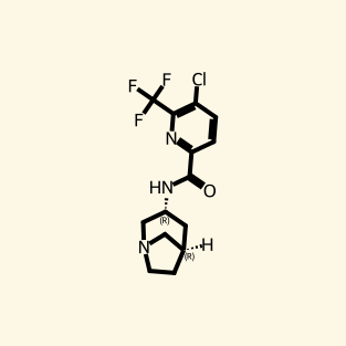 O=C(N[C@@H]1C[C@H]2CCN(C2)C1)c1ccc(Cl)c(C(F)(F)F)n1